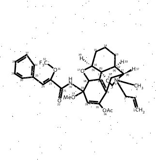 C=CC[N+]1(C)CC[C@@]23C4=C5C[C@@H]1[C@@H]2CCC[C@@H]3OC4C(NC(=O)C(=Cc1ccccc1)OC(F)(F)F)(OC)C=C5OC(C)=O